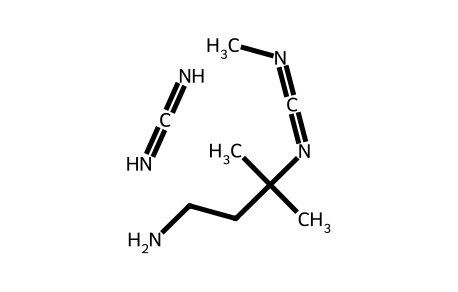 CN=C=NC(C)(C)CCN.N=C=N